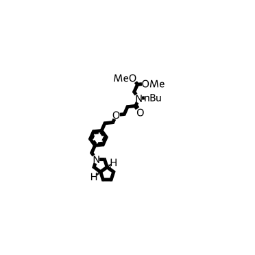 CCCCN(CC(OC)OC)C(=O)CCOCCc1ccc(CN2C[C@H]3CCC[C@H]3C2)cc1